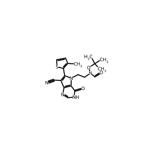 Cc1ccsc1-c1c(C#N)c2nc[nH]c(=O)c2n1CCN(C=O)OC(C)(C)C